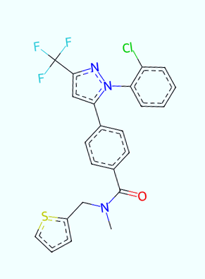 CN(Cc1cccs1)C(=O)c1ccc(-c2cc(C(F)(F)F)nn2-c2ccccc2Cl)cc1